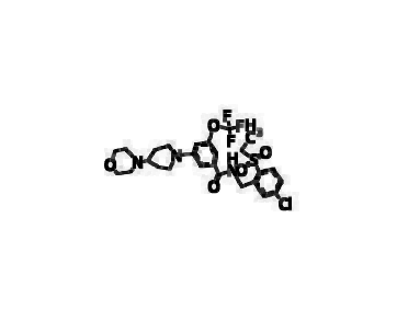 CCS(=O)(=O)c1ccc(Cl)cc1CNC(=O)c1cc(OC(F)(F)F)cc(N2CCC(N3CCOCC3)CC2)c1